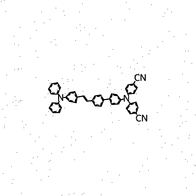 N#Cc1ccc(N(c2ccc(C#N)cc2)c2ccc(-c3ccc(/C=C/c4ccc(N(c5ccccc5)c5ccccc5)cc4)cc3)cc2)cc1